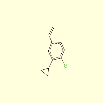 C=Cc1ccc(Cl)c(C2CC2)c1